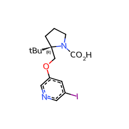 CC(C)(C)[C@@]1(COc2cncc(I)c2)CCCN1C(=O)O